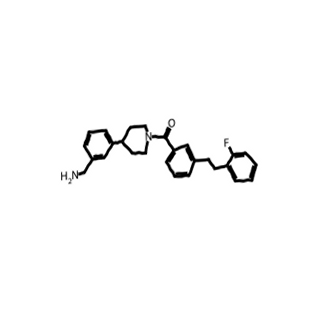 NCc1cccc(C2CCN(C(=O)c3cccc(CCc4ccccc4F)c3)CC2)c1